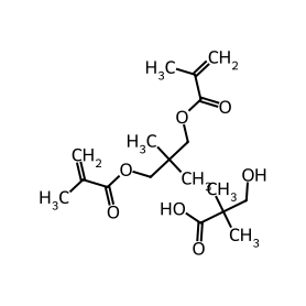 C=C(C)C(=O)OCC(C)(C)COC(=O)C(=C)C.CC(C)(CO)C(=O)O